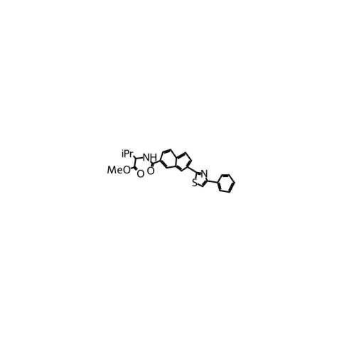 COC(=O)C(NC(=O)c1ccc2ccc(-c3nc(-c4ccccc4)cs3)cc2c1)C(C)C